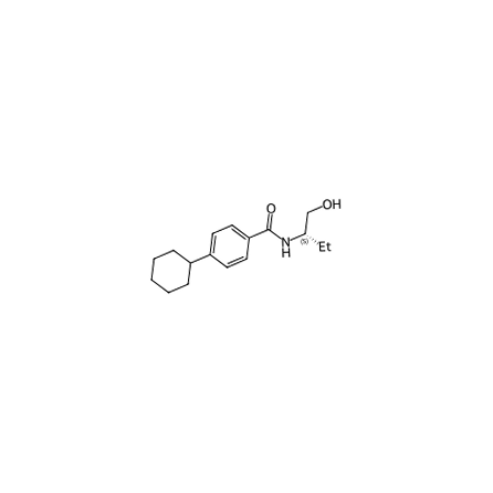 CC[C@@H](CO)NC(=O)c1ccc(C2CCCCC2)cc1